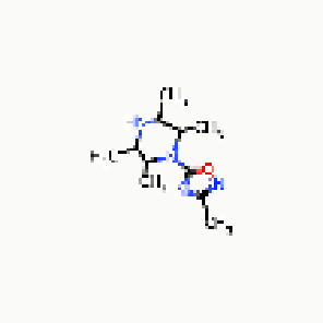 Cc1noc(N2C(C)C(C)NC(C)C2C)n1